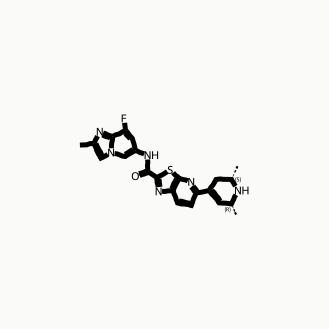 Cc1cn2cc(NC(=O)c3nc4ccc(C5=C[C@@H](C)N[C@@H](C)C5)nc4s3)cc(F)c2n1